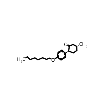 CCCCCCCCOc1ccc([C@@H]2CC[C@@H](C)CC2=O)cc1